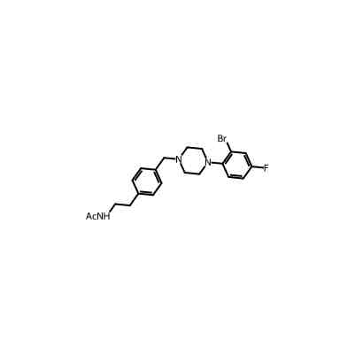 CC(=O)NCCc1ccc(CN2CCN(c3ccc(F)cc3Br)CC2)cc1